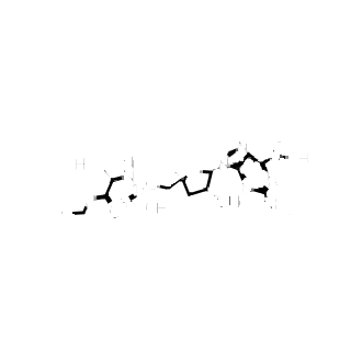 CCOC(=O)[C@@H](C)NP(C)(=S)OC[C@]1(F)C[C@H](C)[C@H](n2cnc3c(NC)nc(N)nc32)O1